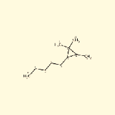 CCCCCC1C(C)C1(C)C